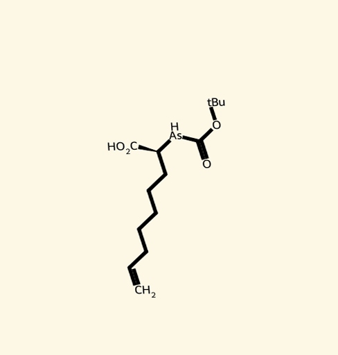 C=CCCCCC[C@H]([AsH]C(=O)OC(C)(C)C)C(=O)O